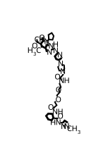 CC(=O)c1c(C)c2cnc(Nc3ccc(N4CCN(CC(=O)NCCOCCOCCC(=O)Nc5ccccc5C(=O)Nc5ccn(C)n5)CC4)cn3)nc2n(C2CCCC2)c1=O